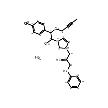 Br.CC#CCOC(c1ccc(Cl)cc1)C(Cl)N1C=CN(CC(=O)COc2ccccc2)C1